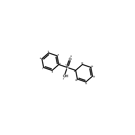 O=P(O)(c1ccccc1)C1C=CC=CC1